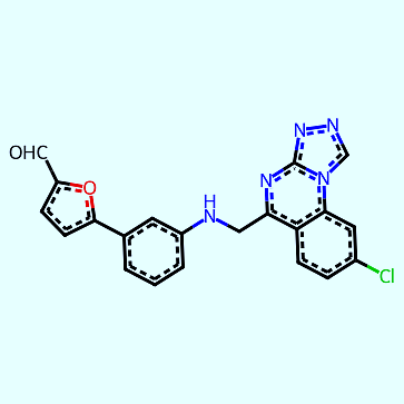 O=Cc1ccc(-c2cccc(NCc3nc4nncn4c4cc(Cl)ccc34)c2)o1